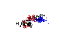 Cc1nc(N)c2ncn([C@@H]3O[C@H](COP(=O)(NCc4ccccc4)OCCSC(=O)C(C)(C)CO)C(O)[C@H]3F)c2n1